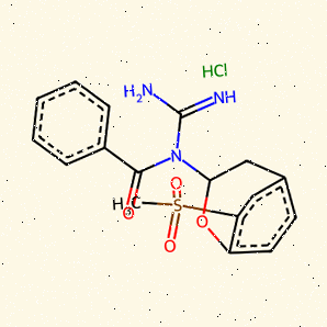 CS(=O)(=O)c1cc2ccc1OC(N(C(=N)N)C(=O)c1ccccc1)C2.Cl